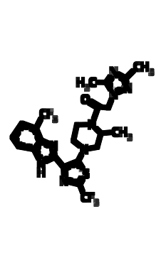 Cc1nc(C)n(CC(=O)N2CCN(c3sc(C(F)(F)F)nc3-c3nc4c(C(F)(F)F)cccc4[nH]3)CC2C)n1